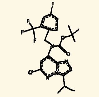 CC(C)c1cnc2c(N(Cc3ccc(F)cc3C(F)(F)F)C(=O)OC(C)(C)C)cc(Cl)nn12